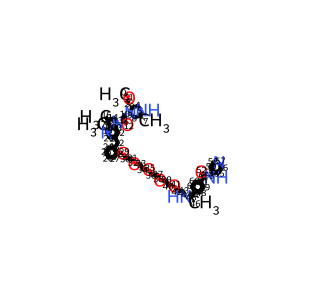 COC[C@H]1CN[C@H](C)CN1CC(=O)N1CC(C)(C)c2ncc(Cc3ccccc3OCCOCCOCCOCCOCCN[C@H](C)c3ccc(C(=O)Nc4ccncc4)cc3)cc21